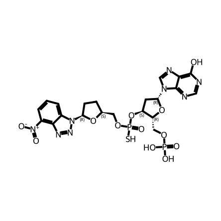 O=[N+]([O-])c1cccc2c1nnn2[C@H]1CC[C@@H](COP(=O)(S)O[C@H]2C[C@H](n3cnc4c(O)ncnc43)O[C@@H]2COP(=O)(O)O)O1